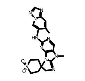 Cc1cc2ncnn2cc1Nc1ncc2c(n1)N1C(=NCC13CCS(=O)(=O)CC3)N2C